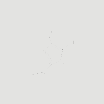 CC(C)c1nc(CCl)sc1Cl